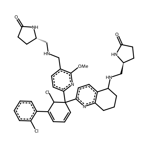 COc1nc(C2(c3ccc4c(n3)CCCC4NC[C@@H]3CCC(=O)N3)C=CC=C(c3ccccc3Cl)C2Cl)ccc1CNC[C@@H]1CCC(=O)N1